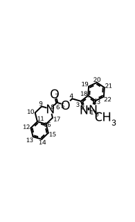 Cn1nc(COC(=O)N2CCc3ccccc3C2)c2ccccc21